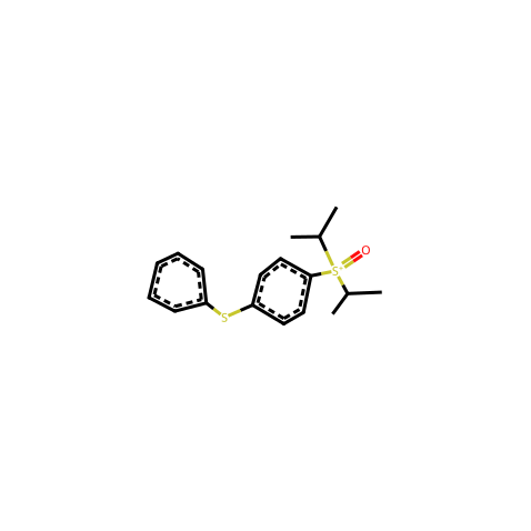 CC(C)[S+](=O)(c1ccc(Sc2ccccc2)cc1)C(C)C